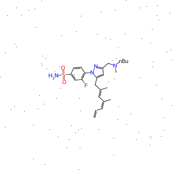 C=C/C=C(C)\C=C(/C)Cc1cc(CN(C)CCCC)nn1-c1ccc(S(N)(=O)=O)cc1F